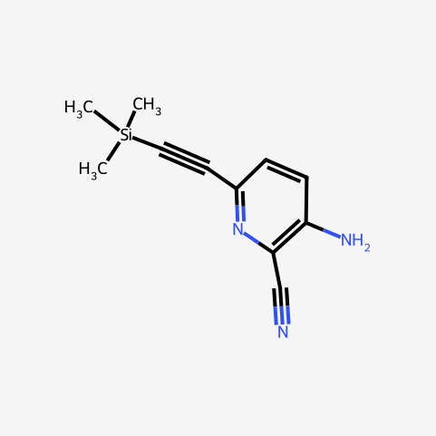 C[Si](C)(C)C#Cc1ccc(N)c(C#N)n1